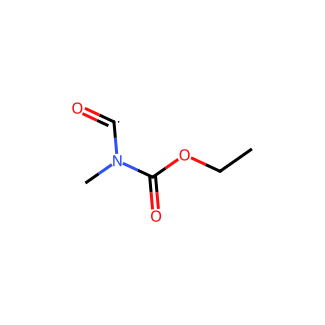 CCOC(=O)N(C)[C]=O